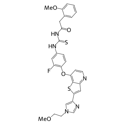 COCCn1cnc(-c2cc3nccc(Oc4ccc(NC(=S)NC(=O)Cc5ccccc5OC)cc4F)c3s2)c1